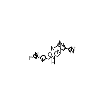 Cn1cc(-c2cc(N3CCC(NC(=O)Cc4ccc(-n5cc(F)cn5)nc4)CC3)c3c(C#N)cnn3c2)cn1